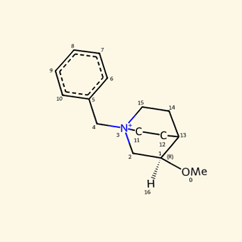 CO[C@H]1C[N+]2(Cc3ccccc3)CCC1CC2